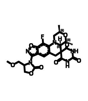 COCC1COC(=O)N1c1noc2c(F)c3c(cc12)CC1(C(=O)NC(=O)NC1=O)[C@@H]1[C@@H](C)O[C@H](C)CN31